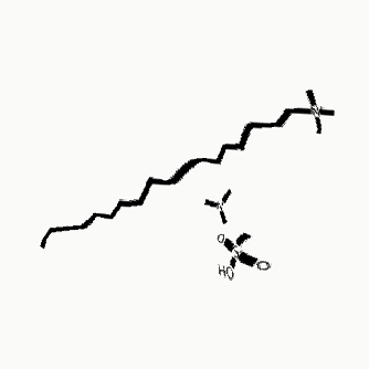 CCCCCCCCCCCCCCCC[N+](C)(C)C.CN(C)C.CS(=O)(=O)O